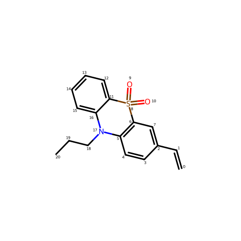 C=Cc1ccc2c(c1)S(=O)(=O)c1ccccc1N2CCC